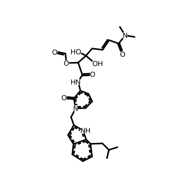 CC(C)Cc1cccc2cc(Cn3cccc(NC(=O)C(OC=O)C(O)(O)C/C=C/C(=O)N(C)C)c3=O)[nH]c12